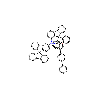 c1ccc(-c2ccc(-c3cccc(N(c4ccc(C5(c6ccccc6)c6ccccc6-c6ccccc65)cc4)c4cccc5c4C(c4ccccc4)(c4ccccc4)c4ccccc4-5)c3)cc2)cc1